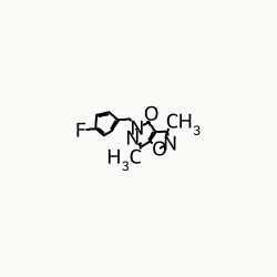 Cc1nn(Cc2ccc(F)cc2)c(=O)c2c(C)noc12